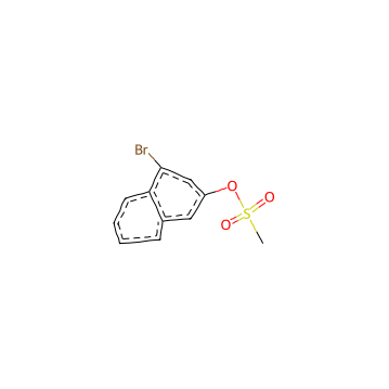 CS(=O)(=O)Oc1cc(Br)c2ccccc2c1